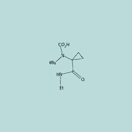 CCNC(=O)C1(N(C(=O)O)C(C)(C)C)CC1